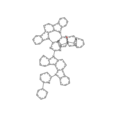 c1ccc(-c2cccc(-n3c4ccccc4c4ccc5c(c6ccccc6n5-c5nc(-c6ccccc6)nc(-n6c7ccccc7c7ccc8c9ccccc9n(-c9cccc(-c%10ccccc%10)n9)c8c76)n5)c43)n2)cc1